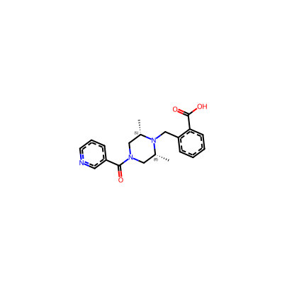 C[C@@H]1CN(C(=O)c2cccnc2)C[C@H](C)N1Cc1ccccc1C(=O)O